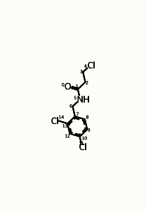 O=C(CCCl)NCc1ccc(Cl)cc1Cl